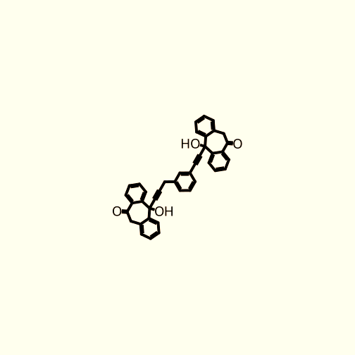 O=C1Cc2ccccc2C(O)(C#CCc2cccc(C#CC3(O)c4ccccc4CC(=O)c4ccccc43)c2)c2ccccc21